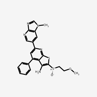 COCC[S@+]([O-])c1sc2nc(-c3cnc4ncn(C)c4c3)cc(-c3ccccc3)c2c1N